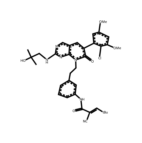 COc1cc(OC)c(Cl)c(-c2cc3cnc(NCC(C)(C)O)nc3n(CCc3cccc(NC(=O)C(C#N)=CC(C)(C)C)c3)c2=O)c1